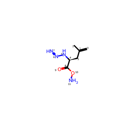 C=C(C)C[C@H](NN=N)C(=O)ON